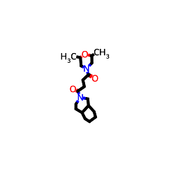 CC1CN(C(=O)CCC(=O)N2CCC3CCCCC3C2)CC(C)O1